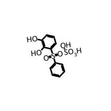 O=S(=O)(O)O.O=S(=O)(c1ccccc1)c1cccc(O)c1O